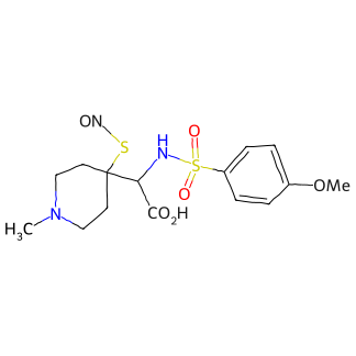 COc1ccc(S(=O)(=O)NC(C(=O)O)C2(SN=O)CCN(C)CC2)cc1